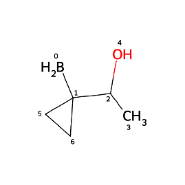 BC1(C(C)O)CC1